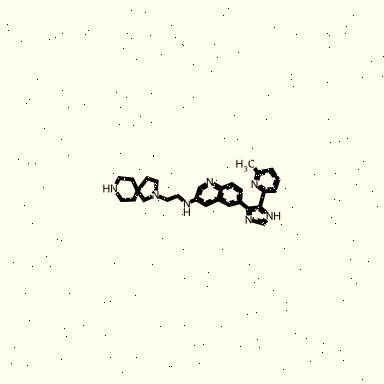 Cc1cccc(-c2[nH]cnc2-c2ccc3ncc(NCCN4CCC5(CCNCC5)C4)cc3c2)n1